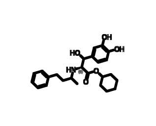 CC(CCc1ccccc1)N[C@H](C(=O)OC1CCCCC1)C(O)c1ccc(O)c(O)c1